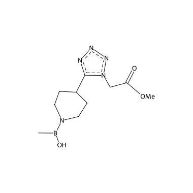 COC(=O)Cn1nnnc1C1CCN(B(C)O)CC1